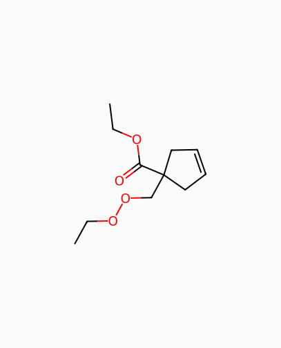 CCOOCC1(C(=O)OCC)CC=CC1